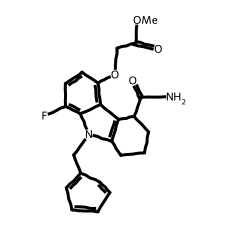 COC(=O)COc1ccc(F)c2c1c1c(n2Cc2ccccc2)CCCC1C(N)=O